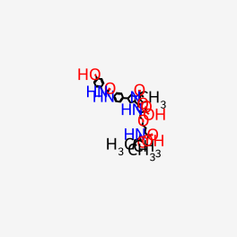 CC(=O)N1CC(c2ccc(NC(=O)Nc3ccc(O)cc3)cc2)CC1C(=O)NC(COCCC(NC(=O)CC(C)(C)C)C(=O)O)C(=O)O